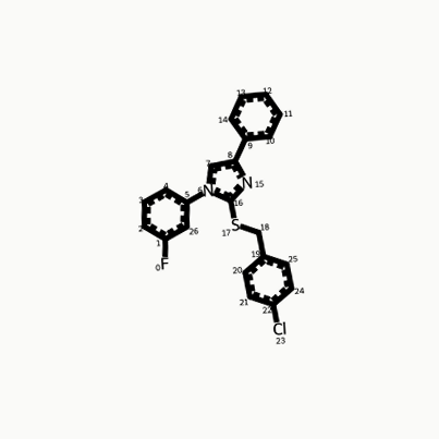 Fc1cccc(-n2cc(-c3ccccc3)nc2SCc2ccc(Cl)cc2)c1